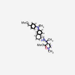 C=N/C=C\C(C(=O)OC)=C(/C)NC[C@@H]1CCCc2cc(N(C)c3ccc(COC)cc3)ccc21